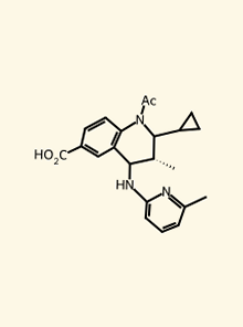 CC(=O)N1c2ccc(C(=O)O)cc2C(Nc2cccc(C)n2)[C@@H](C)C1C1CC1